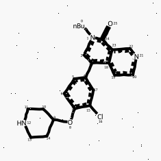 CCCCn1cc(-c2ccc(OC3CCNCC3)c(Cl)c2)c2ccncc2c1=O